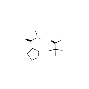 CN(C)C(=O)[C@H]1CCNC1.O=C(O)C(F)(F)F